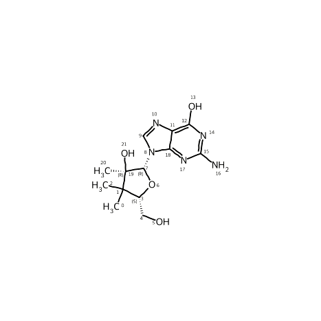 CC1(C)[C@@H](CO)O[C@@H](n2cnc3c(O)nc(N)nc32)[C@]1(C)O